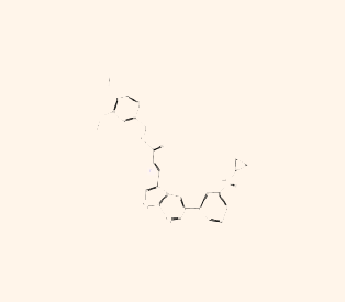 COc1ccc(CNC(=O)/C=C/c2c[nH]c3ncc(-c4cccc(S(=O)(=O)C5CC5)c4)cc23)cc1OC